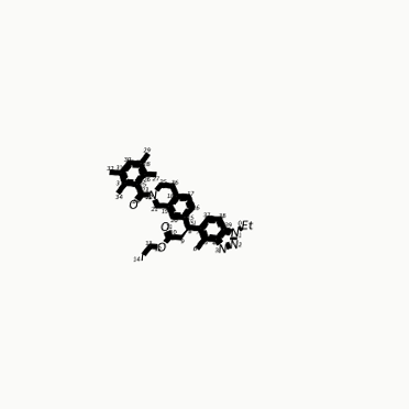 CCn1nnc2c(C)c([C@@H](CC(=O)OCI)c3ccc4c(c3)CN(C(=O)c3c(C)c(C)cc(C)c3C)CC4)ccc21